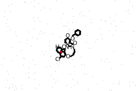 C[C@@]1(c2ccccc2)c2ccc(Cl)cc2OC/C=C\CN2CN1n1ccc(=O)c(OCc3ccccc3)c1C2=O